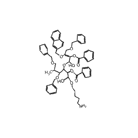 CC(COCc1ccccc1)C(OCc1ccccc1)C(OC(O)/C(OC(=O)c1ccccc1)=C(/COCc1ccccc1)OCc1ccc2ccccc2c1)C(OC(=O)c1ccccc1)C(O)OCCCCCN